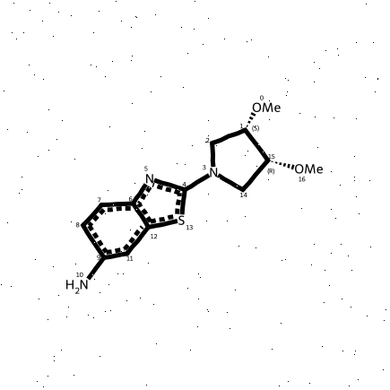 CO[C@H]1CN(c2nc3ccc(N)cc3s2)C[C@H]1OC